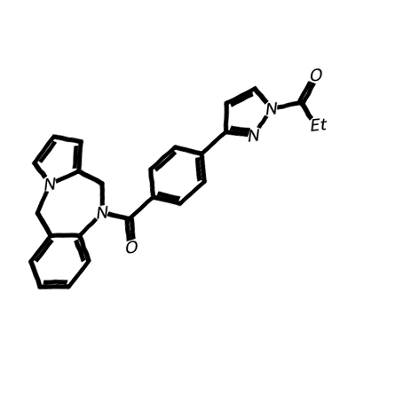 CCC(=O)n1ccc(-c2ccc(C(=O)N3Cc4cccn4Cc4ccccc43)cc2)n1